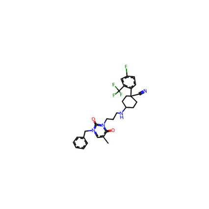 Cc1cn(Cc2ccccc2)c(=O)n(CCCNC2CCC(C#N)(c3ccc(F)cc3C(F)(F)F)CC2)c1=O